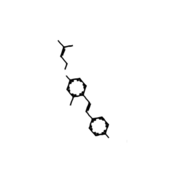 CCOC(=O)c1ccc(C=Cc2ccc(SCC=C(C)C)cc2C)cc1